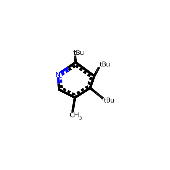 Cc1cnc(C(C)(C)C)c(C(C)(C)C)c1C(C)(C)C